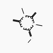 CC/N=c1\oc(=O)n(C)c(=O)n1C